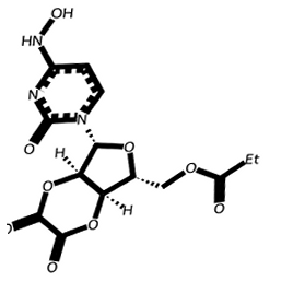 CCC(=O)OC[C@H]1O[C@@H](n2ccc(NO)nc2=O)[C@@H]2OC(=O)C(=O)O[C@@H]21